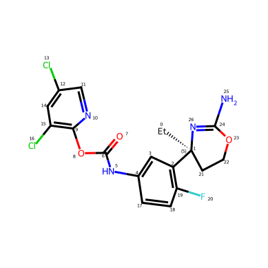 CC[C@@]1(c2cc(NC(=O)Oc3ncc(Cl)cc3Cl)ccc2F)CCOC(N)=N1